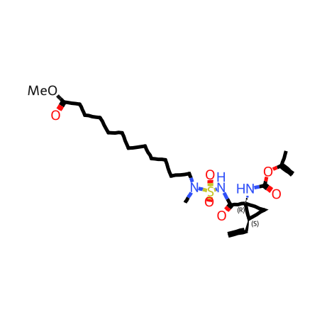 C=C[C@@H]1C[C@]1(NC(=O)OC(=C)C)C(=O)NS(=O)(=O)N(C)CCCCCCCCCCCC(=O)OC